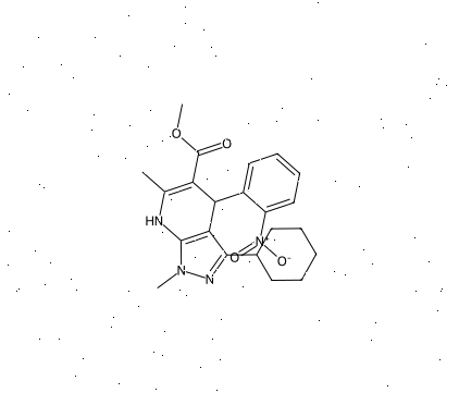 COC(=O)C1=C(C)Nc2c(c(C3CCCCC3)nn2C)C1c1ccccc1[N+](=O)[O-]